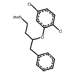 CNCCC(Cc1ccccc1)Oc1cc(Cl)ccc1Cl